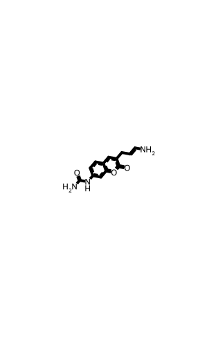 NC=CCc1cc2ccc(NC(N)=O)cc2oc1=O